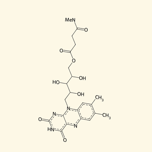 CNC(=O)CCC(=O)OCC(O)C(O)C(O)Cn1c2nc(=O)[nH]c(=O)c-2nc2cc(C)c(C)cc21